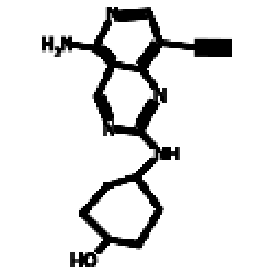 C#Cc1cnc(N)c2cnc(NC3CCC(O)CC3)nc12